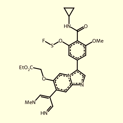 CCOC(=O)COc1cn2c(-c3cc(OC)c(C(=O)NC4CC4)c(OSF)c3)cnc2cc1/C(C=N)=C/NC